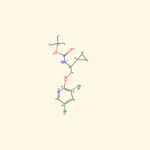 CC(C)(C)OC(=O)NC(COc1ncc(Br)cc1Br)C1CC1